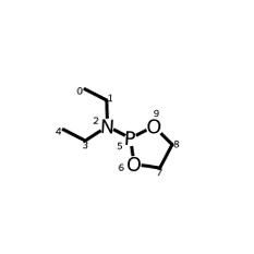 CCN(CC)P1OCCO1